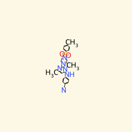 Cc1ccc(S(=O)(=O)N2CCN(c3nc(C)cc(Nc4ccc(C#N)cc4)n3)C(C)C2)cc1